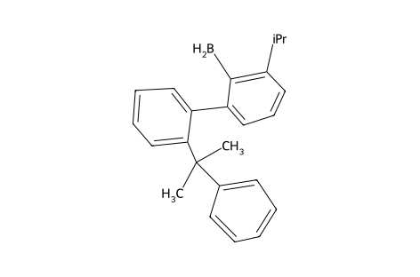 Bc1c(-c2ccccc2C(C)(C)c2ccccc2)cccc1C(C)C